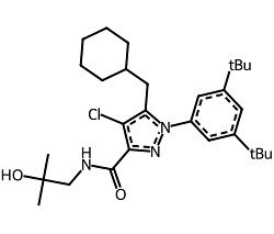 CC(C)(O)CNC(=O)c1nn(-c2cc(C(C)(C)C)cc(C(C)(C)C)c2)c(CC2CCCCC2)c1Cl